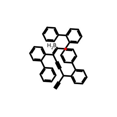 B/C(Cc1ccccc1-c1ccccc1)=C(/C#CC(C#C)c1ccccc1-c1ccccc1)c1ccccc1-c1ccccc1